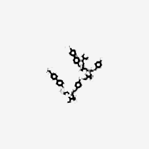 CCc1cn(CC(=O)N(C)Cc2ccc(-c3ccc(C(F)(F)F)cc3)cc2)c(SCc2ccc(F)cc2)nc1=O.CCc1cn(CC(=O)N(CCN(CC)CC)Cc2ccc(-c3ccc(Cl)cc3)cc2)c(SCc2ccc(F)cc2)nc1=O